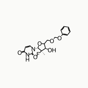 C[C@@]1(F)[C@H](O)C(COCOc2ccccc2)O[C@H]1n1ccc(=O)[nH]c1=O